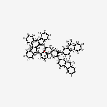 CC1(C)c2ccccc2-c2ccc(-c3nc4ccc(-n5c6ccccc6c6c7ccccc7c7c8ccccc8n(-c8ccccc8)c7c65)cc4nc3-c3ccc4c(c3)C(C)(C)c3ccccc3-4)cc21